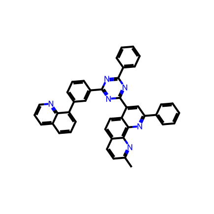 Cc1ccc2ccc3c(-c4nc(-c5ccccc5)nc(-c5cccc(-c6cccc7cccnc67)c5)n4)cc(-c4ccccc4)nc3c2n1